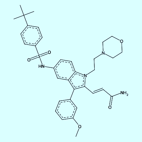 COc1cccc(-c2c(/C=C/C(N)=O)n(CCN3CCOCC3)c3ccc(NS(=O)(=O)c4ccc(C(C)(C)C)cc4)cc23)c1